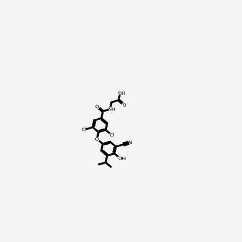 CC(C)c1cc(Oc2c(Cl)cc(C(=O)NCC(=O)O)cc2Cl)cc(C#N)c1O